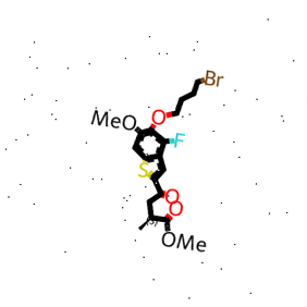 COC(=O)[C@@H](C)CC(=O)c1cc2c(F)c(OCCCCBr)c(OC)cc2s1